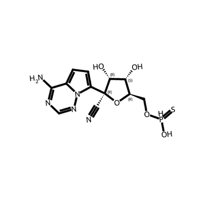 N#C[C@@]1(c2ccc3c(N)ncnn23)O[C@H](CO[PH](O)=S)[C@@H](O)[C@H]1O